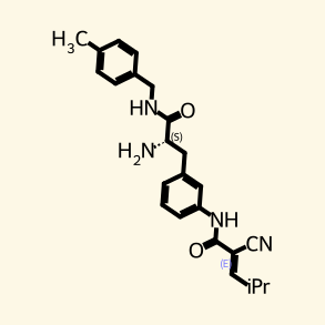 Cc1ccc(CNC(=O)[C@@H](N)Cc2cccc(NC(=O)/C(C#N)=C/C(C)C)c2)cc1